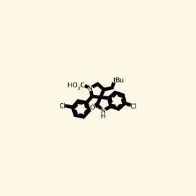 CC(C)(C)CC1CN(C(=O)O)C(c2cccc(Cl)c2)C12C(=O)Nc1cc(Cl)ccc12